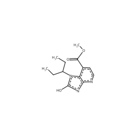 CCC(CC)n1c(O)nc2nccc(C(=O)OC)c21